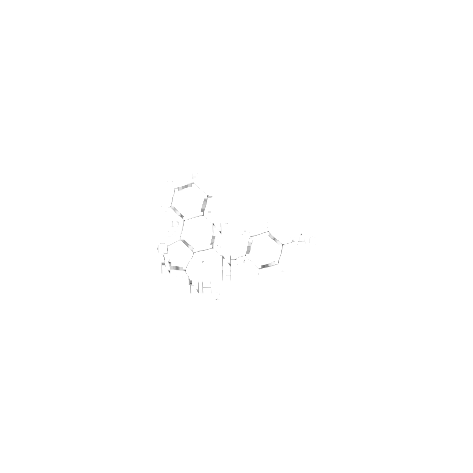 CC(=O)c1ccc(Nc2nc3ccccc3c3onc(N)c23)cc1